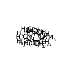 CC(C)=C(C)N1C(C)(C)C(C)(C)N2C3N(C(C)(C)C1(C)C)C(C)(C)C(C)(C)N3C(C)(C)C2(C)C